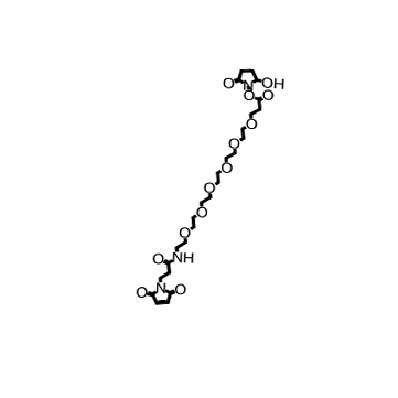 O=C(CCN1C(=O)C=CC1=O)NCCOCCOCCOCCOCCOCCOCCC(=O)ON1C(=O)CCC1O